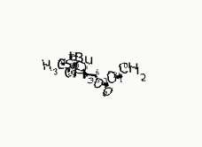 C=COC(=O)OCCO[Si](C)(C)C(C)(C)C